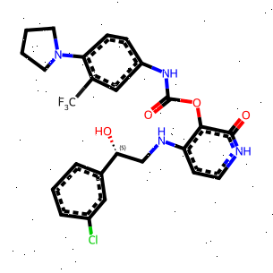 O=C(Nc1ccc(N2CCCC2)c(C(F)(F)F)c1)Oc1c(NC[C@@H](O)c2cccc(Cl)c2)cc[nH]c1=O